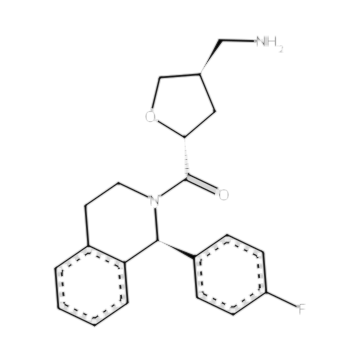 NC[C@@H]1CO[C@@H](C(=O)N2CCc3ccccc3[C@@H]2c2ccc(F)cc2)C1